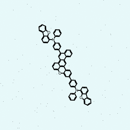 c1ccc(N(c2ccc(-c3ccc4c(c3)Oc3cccc5c3c-4cc3c4ccccc4c(-c4ccc(N(c6ccccc6)c6cccc7c6oc6ccccc67)cc4)cc53)cc2)c2cccc3c2oc2ccccc23)cc1